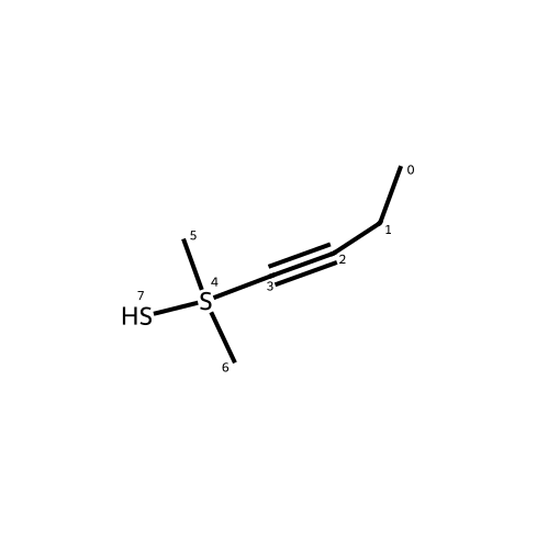 CCC#CS(C)(C)S